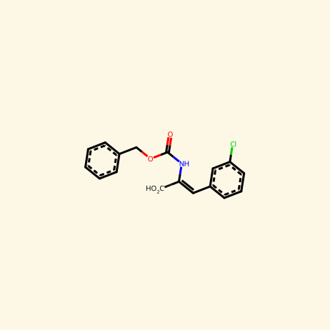 O=C(NC(=Cc1cccc(Cl)c1)C(=O)O)OCc1ccccc1